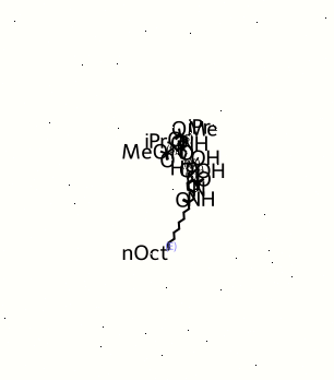 CCCCCCCC/C=C/CCCCCCCC(=O)Nc1ccn([C@@H]2O[C@H](COP(=O)(N[C@@H](CC(C)C)C(=O)OC)N[C@@H](CC(C)C)C(=O)OC)[C@@H](O)[C@@H]2O)c(=O)n1